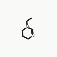 CCN1C=NCCC1